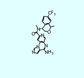 CC1OC[C@@H](N(C)C(=O)c2cc3c(cn2)nc(N)c2cncn23)c2ccc(C(F)(F)F)cc21